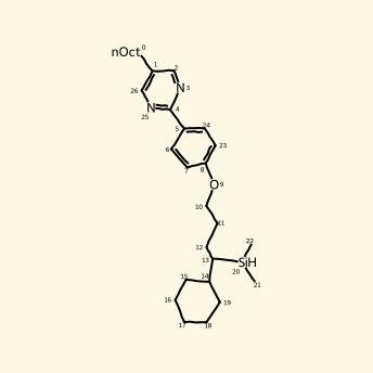 CCCCCCCCc1cnc(-c2ccc(OCCCC(C3CCCCC3)[SiH](C)C)cc2)nc1